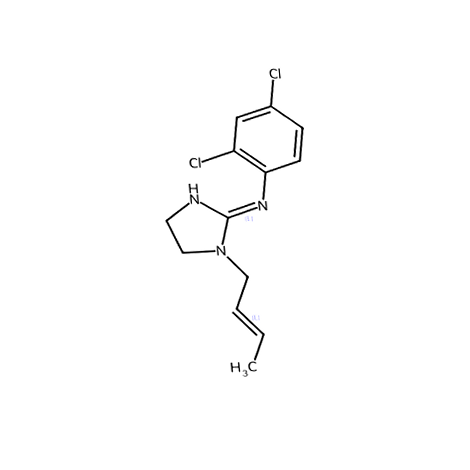 C/C=C/CN1CCN/C1=N\c1ccc(Cl)cc1Cl